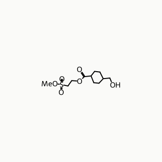 COS(=O)(=O)CCOC(=O)C1CCC(CO)CC1